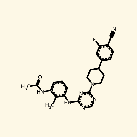 CC(=O)Nc1cccc(Nc2ncnc(N3CCC(c4ccc(C#N)c(F)c4)CC3)n2)c1C